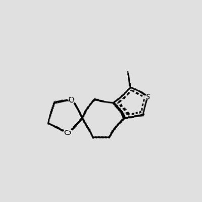 Cc1scc2c1CC1(CC2)OCCO1